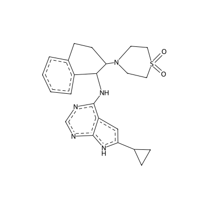 O=S1(=O)CCN(C2CCc3ccccc3C2Nc2ncnc3[nH]c(C4CC4)cc23)CC1